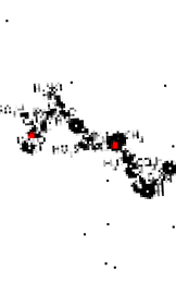 Cc1c(-c2ccc(N3CCc4cccc(C(=O)Nc5nc6ccccc6s5)c4C3)nc2C(=O)O)cnn1CC12CC3(C)CC(C)(C1)CC(OCCN(CCS(=O)(=O)O)C(=O)OCc1ccc(NC(=O)[C@H](CCCNC(N)=O)NC(=O)[C@@H](NC(=O)CN4C(=O)C(N5C(=O)C=CC5=O)C[C@H]4COCCS(=O)(=O)O)C(C)C)cc1)(C3)C2